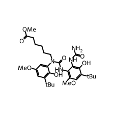 COC(=O)CCCCCN(C(=O)Nc1c(OC)cc(C(C)(C)C)c(O)c1NC(N)=O)c1cc(OC)cc(C(C)(C)C)c1O